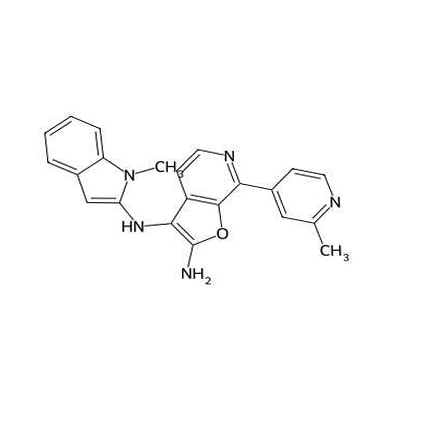 Cc1cc(-c2nccc3c(Nc4cc5ccccc5n4C)c(N)oc23)ccn1